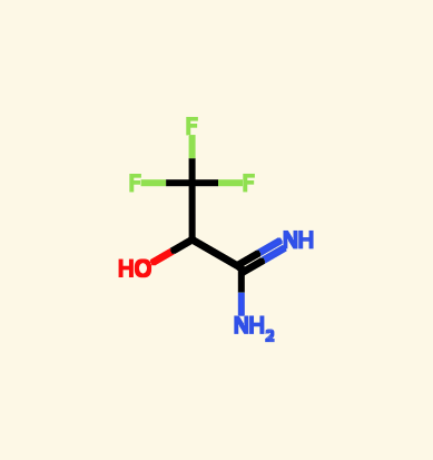 N=C(N)C(O)C(F)(F)F